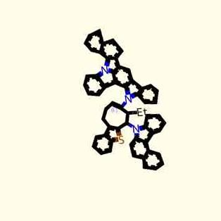 CCC1/C(n2c3ccccc3c3cc4c5ccc6ccccc6c5n5c6ccccc6c(c32)c45)=C\CCc2c(sc3ccccc23)C1n1c2ccccc2c2c3ccccc3ccc21